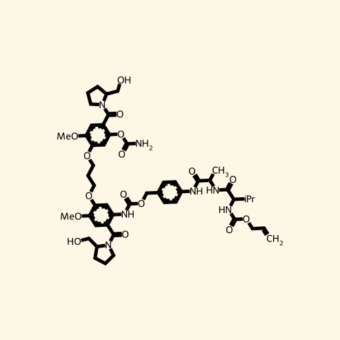 C=CCOC(=O)NC(C(=O)NC(C)C(=O)Nc1ccc(COC(=O)Nc2cc(OCCCOc3cc(OC(N)=O)c(C(=O)N4CCCC4CO)cc3OC)c(OC)cc2C(=O)N2CCCC2CO)cc1)C(C)C